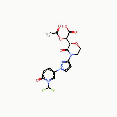 CC(=O)OC(C(=O)O)C1OCCN(c2ccn(-c3ccc(=O)n(C(F)F)c3)n2)C1=O